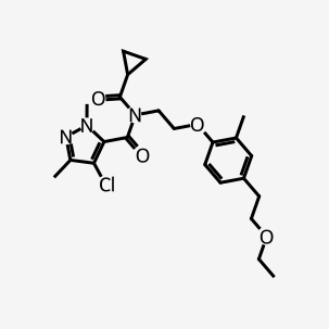 CCOCCc1ccc(OCCN(C(=O)c2c(Cl)c(C)nn2C)C(=O)C2CC2)c(C)c1